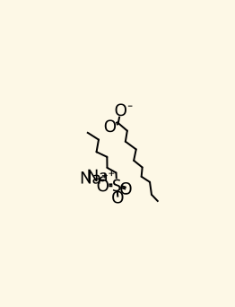 CCCCCCCCCC(=O)[O-].CCCCCCS(=O)(=O)[O-].[Na+].[Na+]